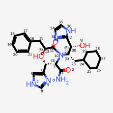 NC(=O)[C@H](Cc1c[nH]cn1)N(C(=O)[C@@H](O)Cc1ccccc1)[C@@H](CC1CCCCC1)[C@@H](O)c1ncc[nH]1